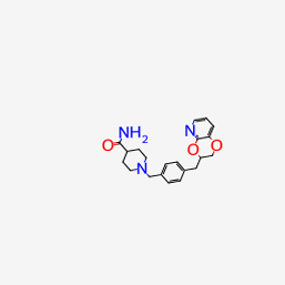 NC(=O)C1CCN(Cc2ccc(CC3COc4cccnc4O3)cc2)CC1